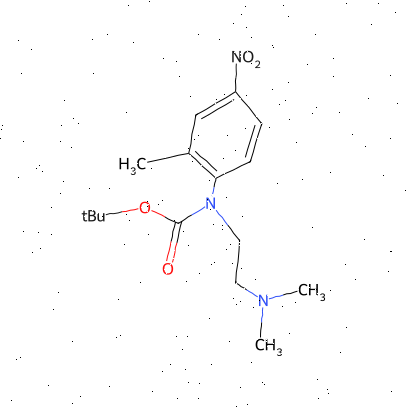 Cc1cc([N+](=O)[O-])ccc1N(CCN(C)C)C(=O)OC(C)(C)C